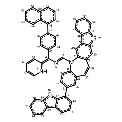 C1=CN/C(=C(\N=C\N2c3ccc(-c4cccc5c4oc4ccccc45)cc3C=Cc3cc4sc5ccccc5c4cc32)c2ccc(-c3cccc4ccccc34)cc2)C=C1